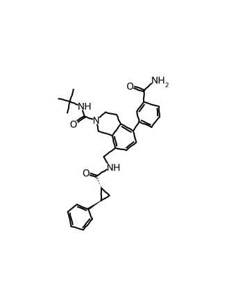 CC(C)(C)NC(=O)N1CCc2c(-c3cccc(C(N)=O)c3)ccc(CNC(=O)[C@@H]3C[C@H]3c3ccccc3)c2C1